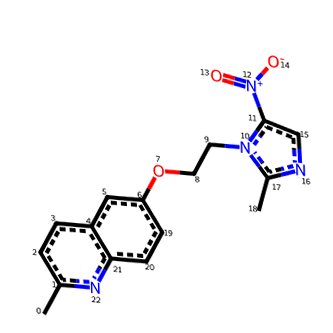 Cc1ccc2cc(OCCn3c([N+](=O)[O-])cnc3C)ccc2n1